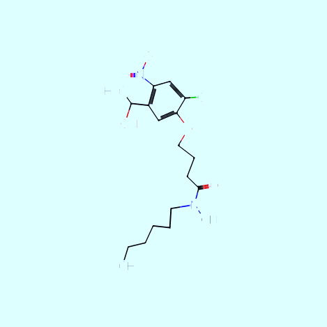 CCCCCCN(C)C(=O)CCCOc1cc(C(C)O)c([N+](=O)[O-])cc1Cl